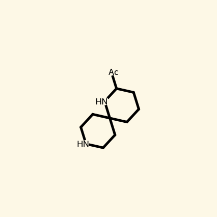 CC(=O)C1CCCC2(CCNCC2)N1